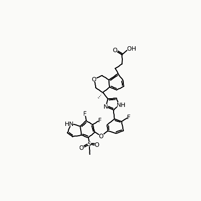 C[C@]1(c2c[nH]c(-c3cc(Oc4c(F)c(F)c5[nH]ccc5c4S(C)(=O)=O)ccc3F)n2)COCc2c(CCC(=O)O)cccc21